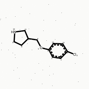 Clc1ccc(OCC2CCNC2)cc1